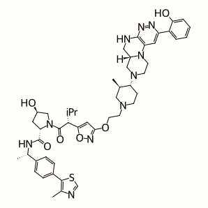 Cc1ncsc1-c1ccc([C@H](C)NC(=O)[C@@H]2C[C@@H](O)CN2C(=O)[C@@H](c2cc(OCCN3CC[C@@H](N4CCN5c6cc(-c7ccccc7O)nnc6NC[C@H]5C4)[C@H](C)C3)no2)C(C)C)cc1